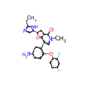 CCc1ncc(-c2cc3c(=O)n(C)cc(-c4cc(N)ccc4Oc4ccc(F)cc4F)c3o2)[nH]1